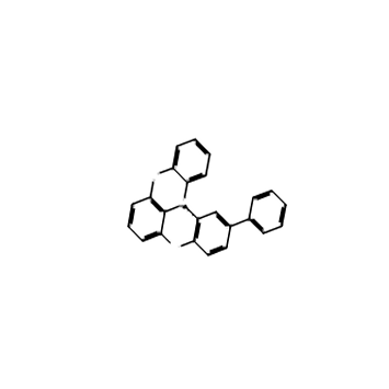 O=P12c3ccccc3Oc3cccc(c31)Oc1ccc(-c3ccccc3)cc12